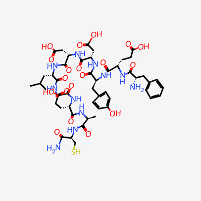 CC(C)C[C@H](NC(=O)[C@H](CC(=O)O)NC(=O)[C@H](CC(=O)O)NC(=O)[C@H](Cc1ccc(O)cc1)NC(=O)[C@H](CCC(=O)O)NC(=O)[C@@H](N)Cc1ccccc1)C(=O)N[C@@H](C)C(=O)N[C@@H](CCC(=O)O)C(=O)N[C@@H](C)C(=O)N[C@@H](CS)C(N)=O